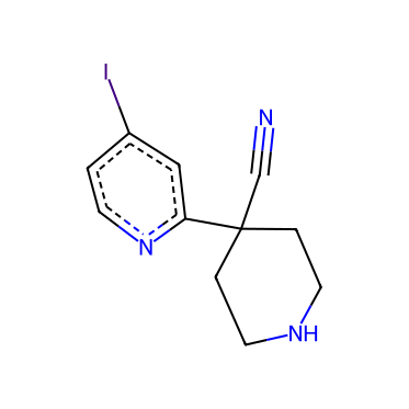 N#CC1(c2cc(I)ccn2)CCNCC1